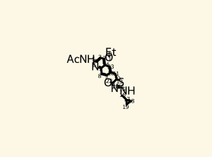 CCOc1cc(NC(C)=O)nc2ccc(CC3SC(NCC4CC4)=NC3=O)cc12